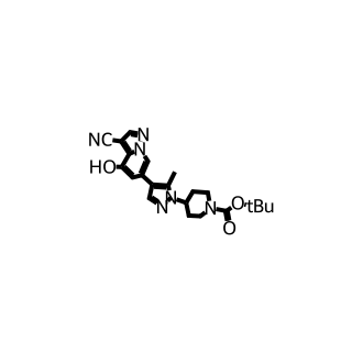 Cc1c(-c2cc(O)c3c(C#N)cnn3c2)cnn1C1CCN(C(=O)OC(C)(C)C)CC1